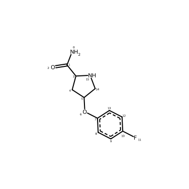 NC(=O)C1CC(Oc2ccc(F)cc2)CN1